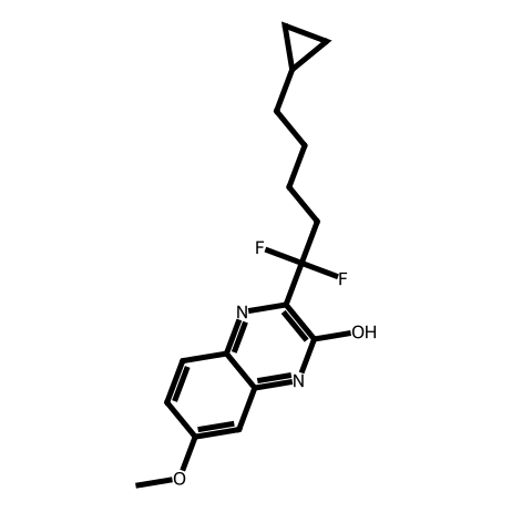 COc1ccc2nc(C(F)(F)CCCCC3CC3)c(O)nc2c1